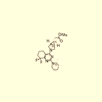 COC(=O)C[C@@H]1[C@H]2CN(c3nc(N4CCCC[C@H]4C)nc4c3CCCC4(F)F)C[C@@H]12